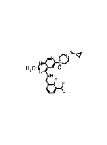 Cc1nc(NCc2cccc(C(F)F)c2F)c2cc(P3(=O)CCN(SC4CC4)CC3)ncc2n1